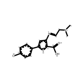 CN(C)C/C=N/c1cc(-c2ccc(Cl)cc2)sc1C(=O)O